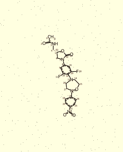 CC(=O)NC[C@H]1CN(c2cc(F)c(N3CCON(c4ccc([N+](=O)[O-])cc4)CC3)c(F)c2)C(=O)O1